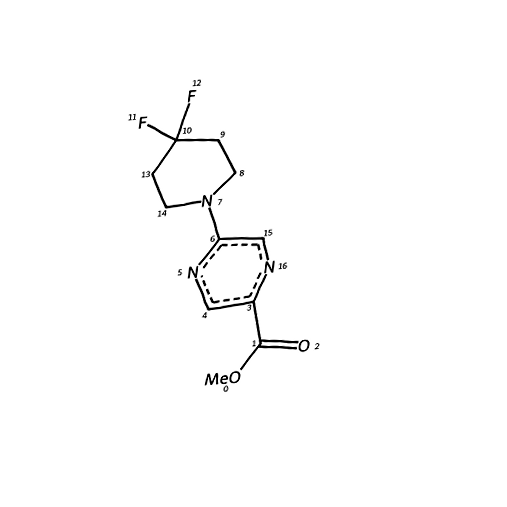 COC(=O)c1cnc(N2CCC(F)(F)CC2)cn1